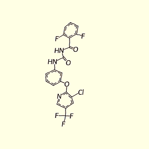 O=C(NC(=O)c1c(F)cccc1F)Nc1cccc(Oc2ncc(C(F)(F)F)cc2Cl)c1